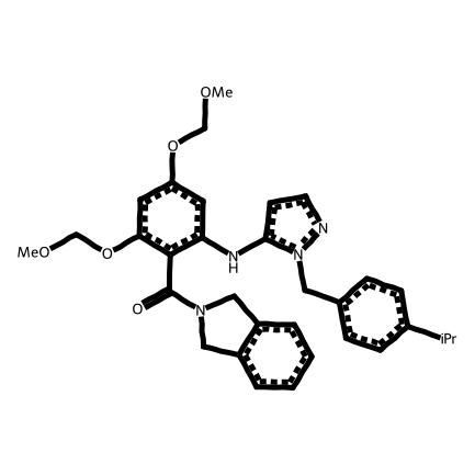 COCOc1cc(Nc2ccnn2Cc2ccc(C(C)C)cc2)c(C(=O)N2Cc3ccccc3C2)c(OCOC)c1